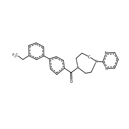 O=C(c1ccc(-c2cccc(CC(F)(F)F)c2)cc1)N1CCCN(c2ncccn2)CC1